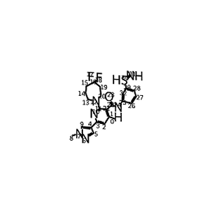 Cc1cc(-c2cnn(C)c2)nc(N2CCCC(F)(F)CC2)c1C(=O)Nc1cccc([SH]=N)c1